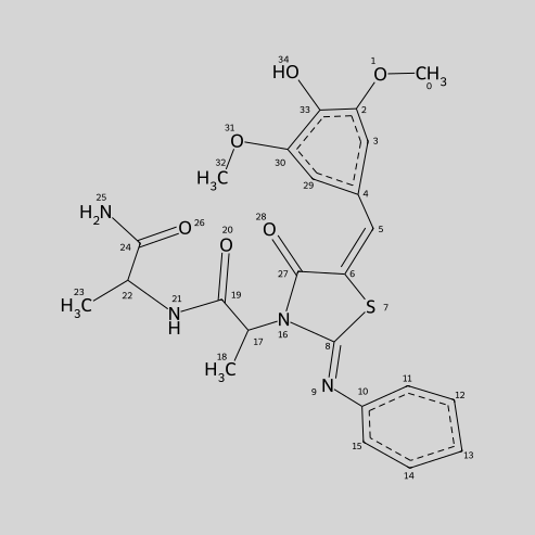 COc1cc(C=C2SC(=Nc3ccccc3)N(C(C)C(=O)NC(C)C(N)=O)C2=O)cc(OC)c1O